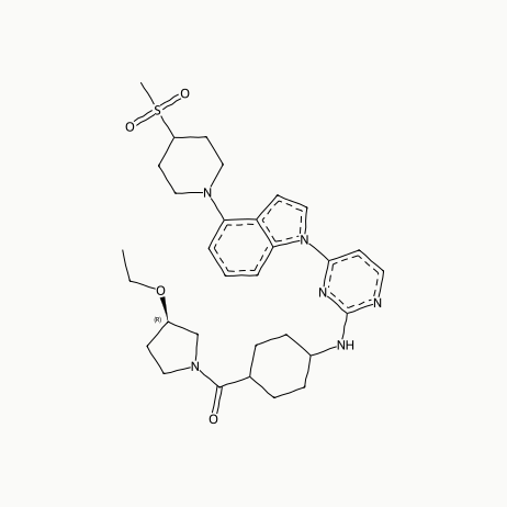 CCO[C@@H]1CCN(C(=O)C2CCC(Nc3nccc(-n4ccc5c(N6CCC(S(C)(=O)=O)CC6)cccc54)n3)CC2)C1